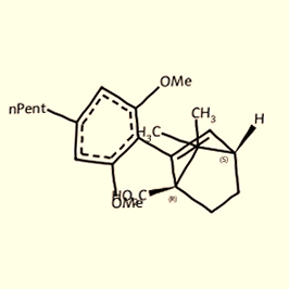 CCCCCc1cc(OC)c(C2=C[C@@H]3CC[C@@]2(C(=O)O)C3(C)C)c(OC)c1